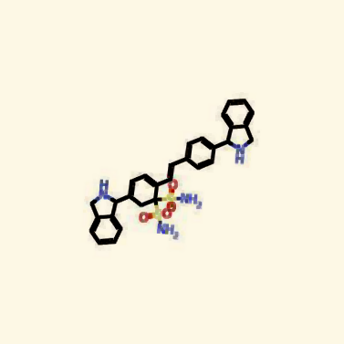 NS(=O)(=O)C1(S(N)(=O)=O)CC(C2NCc3ccccc32)=CC=C1C=Cc1ccc(C2NCc3ccccc32)cc1